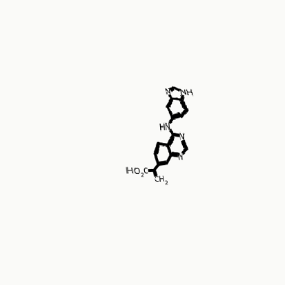 C=C(C(=O)O)c1ccc2c(Nc3ccc4[nH]cnc4c3)ncnc2c1